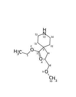 CCOC(=O)C1(CCCOC)CCNCC1